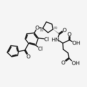 O=C(O)CCC(NC(=O)[C@H]1CC[C@H](Oc2ccc(C(=O)c3ccccc3)c(Cl)c2Cl)C1)C(=O)O